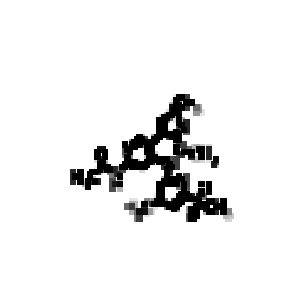 COc1nn(C)cc1-c1cnc(NC(C)=O)cc1Nc1cc(C)cc(S(C)(=O)=O)n1